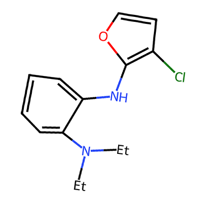 CCN(CC)c1ccccc1Nc1occc1Cl